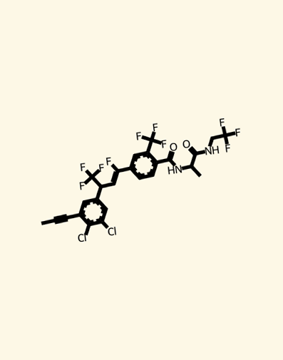 CC#Cc1cc(C(/C=C(\F)c2ccc(C(=O)NC(C)C(=O)NCC(F)(F)F)c(C(F)(F)F)c2)C(F)(F)F)cc(Cl)c1Cl